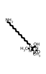 Cc1nc2c(c(O)nc(=O)n2C)n1CCCCCCCCCCCCCCCCN